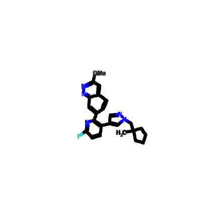 COc1cc2ccc(-c3nc(F)ccc3-c3cnn(CC4(C)CCCC4)c3)cc2nn1